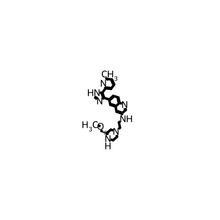 COC[C@H]1CN(CCNc2cnc3ccc(-c4nc[nH]c4-c4cccc(C)n4)cc3c2)CCN1